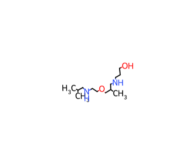 CC(C)CNCCOCC(C)CNCCCO